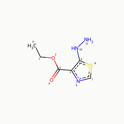 CCOC(=O)c1ncsc1NN